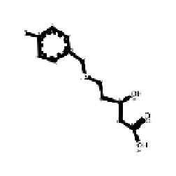 Cc1ccc(CSCCC(O)CC(=O)O)cc1